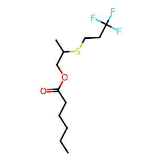 CCCCCC(=O)OCC(C)SCCC(F)(F)F